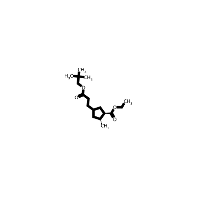 CCOC(=O)[C@@H]1CC(CCC(=O)OCC(C)(C)C)C[C@H]1C